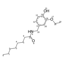 CCCCCCCC(=O)NCc1ccc(O)c(OCC)c1